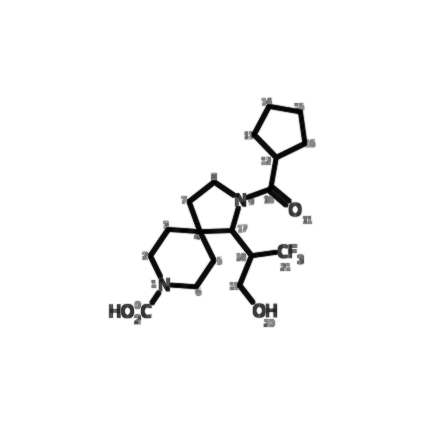 O=C(O)N1CCC2(CC1)CCN(C(=O)C1CCCC1)C2C(CO)C(F)(F)F